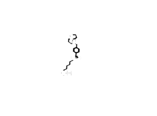 O=C(OCCCCCCO)c1ccc(CN2CCCN3CCC=C32)cc1